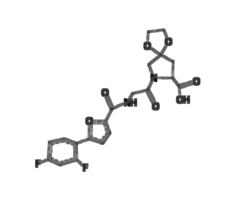 O=C(NCC(=O)N1CC2(CC1C(=O)O)OCCO2)c1ccc(-c2ccc(F)cc2F)o1